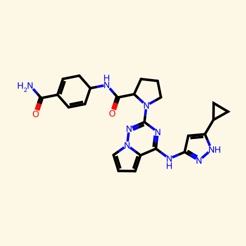 NC(=O)C1=CCC(NC(=O)C2CCCN2c2nc(Nc3cc(C4CC4)[nH]n3)c3cccn3n2)C=C1